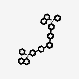 C1=CC(c2cccc(-c3ccc(-c4ccc(N(c5ccccc5)c5cccc6ccccc56)cc4)cc3)c2)CC=C1c1ccc(N(c2ccccc2)c2cccc3ccccc23)cc1